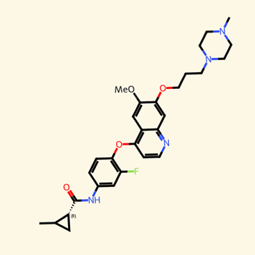 COc1cc2c(Oc3ccc(NC(=O)[C@@H]4CC4C)cc3F)ccnc2cc1OCCCN1CCN(C)CC1